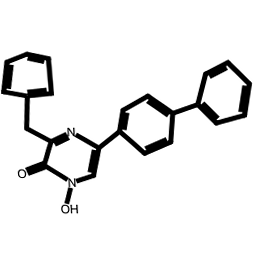 O=c1c(Cc2ccccc2)nc(-c2ccc(-c3ccccc3)cc2)cn1O